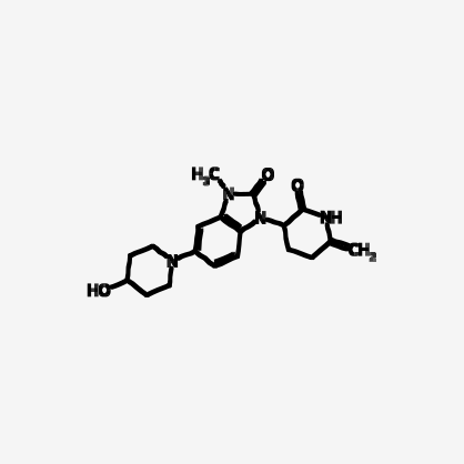 C=C1CCC(n2c(=O)n(C)c3cc(N4CCC(O)CC4)ccc32)C(=O)N1